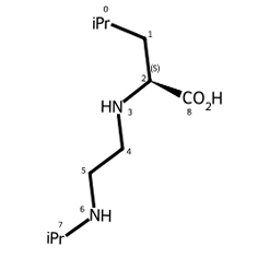 CC(C)C[C@H](NCCNC(C)C)C(=O)O